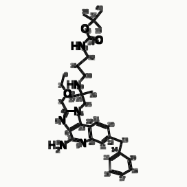 CCOCc1nc2c(N)nc3cc(Cc4ccccc4)ccc3c2n1CC(C)(C)NCCCNC(=O)OC(C)(C)C